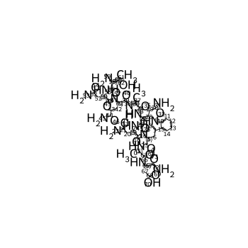 C[C@H](NC(=O)[C@H](Cc1c[nH]c2ccccc12)NC(=O)[C@H](CC(N)=O)NC(=O)[C@H](CCC(N)=O)NC(=O)[C@H](C)NC(=O)[C@H](CCC(N)=O)NC(=O)[C@H](CC(N)=O)NC(=O)[C@@H](N)[C@@H](C)O)C(=O)N[C@@H](CC(=O)O)C(N)=O